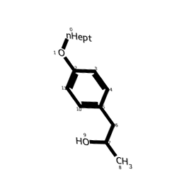 CCCCCCCOc1ccc(CC(C)O)cc1